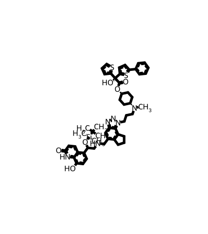 CN(CCCn1nnc2cc(CNCC(O[Si](C)(C)C(C)(C)C)c3ccc(O)c4[nH]c(=O)ccc34)c3c(c21)CCC3)[C@H]1CC[C@H](OC(=O)[C@](O)(c2cccs2)c2ccc(-c3ccccc3)s2)CC1